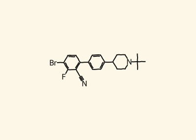 CC(C)(C)N1CCC(c2ccc(-c3ccc(Br)c(F)c3C#N)cc2)CC1